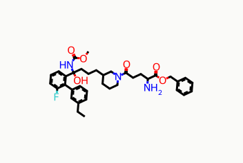 CCc1cccc(-c2c(F)cccc2C(O)(CCCC2CCCN(C(=O)CCC(N)C(=O)OCc3ccccc3)C2)NC(=O)OC)c1